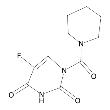 O=C(N1CCCCC1)n1cc(F)c(=O)[nH]c1=O